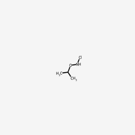 CC(C)ONCl